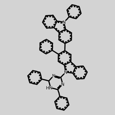 c1ccc(C2=NC(n3c4ccccc4c4cc(-c5ccc6c(c5)c5ccccc5n6-c5ccccc5)c(-c5ccccc5)cc43)=NC(c3ccccc3)N2)cc1